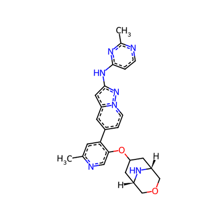 Cc1cc(-c2ccn3nc(Nc4ccnc(C)n4)cc3c2)c(OC2C[C@H]3COC[C@@H](C2)N3)cn1